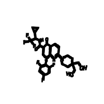 O=C(NC(C1CC1)C(F)(F)F)c1cn(-c2c(F)cc(F)cc2F)c2nc(N3CCC(CO)(CO)CC3)ccc2c1=O